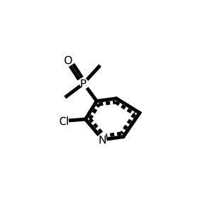 CP(C)(=O)c1cccnc1Cl